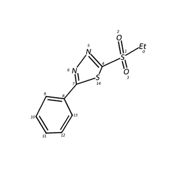 CCS(=O)(=O)c1nnc(-c2ccccc2)s1